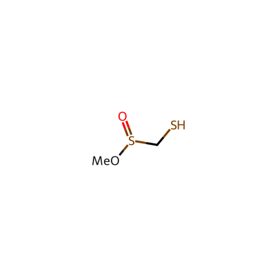 COS(=O)CS